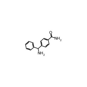 NC(=O)c1ccc(C(N)c2ccccc2)cc1